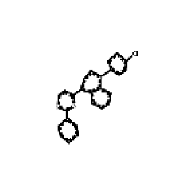 Clc1ccc(-c2ccc(-c3ccnc(-c4ccccc4)n3)c3ccccc23)cc1